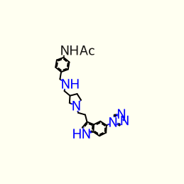 CC(=O)Nc1ccc(CNCC2CCN(CCc3c[nH]c4ccc(-n5cnnc5)cc34)C2)cc1